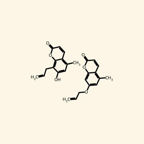 C=CCOc1cc(C)c2ccc(=O)oc2c1.C=CCc1c(O)cc(C)c2ccc(=O)oc12